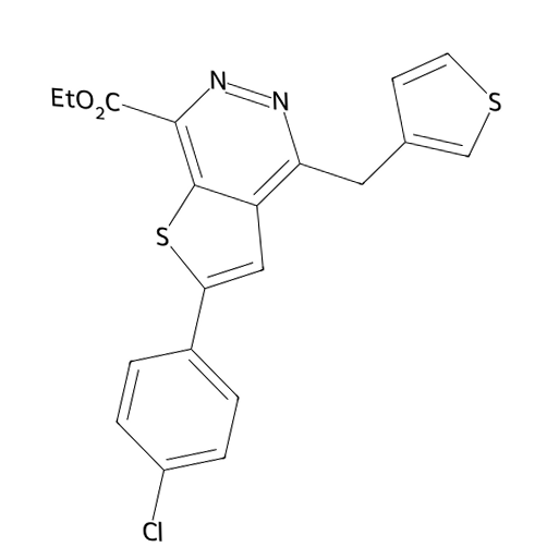 CCOC(=O)c1nnc(Cc2ccsc2)c2cc(-c3ccc(Cl)cc3)sc12